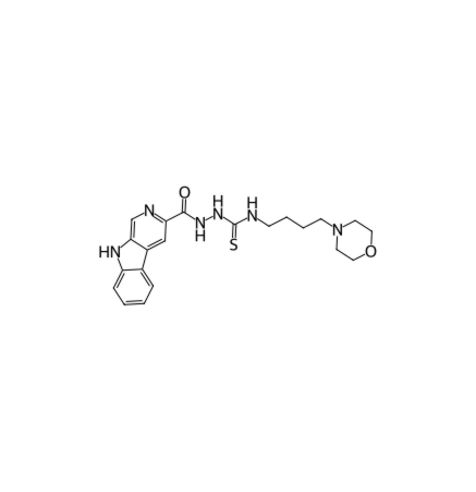 O=C(NNC(=S)NCCCCN1CCOCC1)c1cc2c(cn1)[nH]c1ccccc12